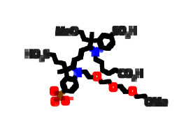 COCCOCCOCCOCCN1C(=CC=CC2=[N+](CCCCCC(=O)O)c3ccc(S(=O)(=O)O)cc3C2(C)CCOC)C(C)(CCCS(=O)(=O)O)c2cc(S(=O)(=O)[O-])ccc21